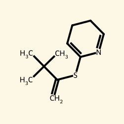 C=C(SC1=CCCC=N1)C(C)(C)C